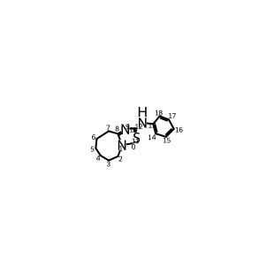 CN1CCCCCCC1=NC(=S)Nc1ccccc1